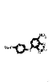 COc1ccc(Oc2ccc([N+](=O)[O-])c3n[se]nc23)cc1